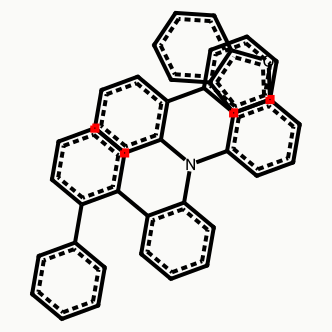 c1ccc(-c2ccccc2-c2ccccc2N(c2ccccc2-c2ccccc2)c2cccc3oc4ccccc4c23)cc1